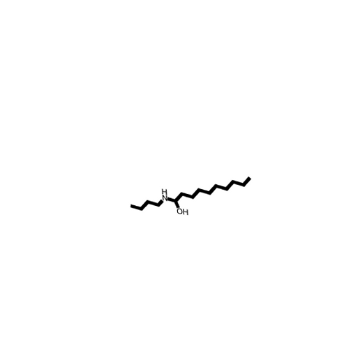 CCCCCCCCCC(O)NCCCC